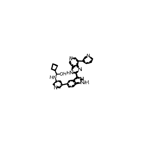 OC(Nc1cncc(-c2ccc3[nH]nc(-c4nc5c(-c6cccnc6)cncc5[nH]4)c3c2)c1)C1CCC1